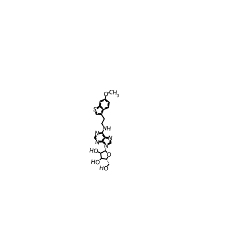 COc1ccc2c(CCNc3ncnc4c3ncn4[C@@H]3O[C@H](CO)C(O)C3O)csc2c1